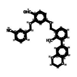 Cc1c(COc2ccc(C=O)c(OCc3cc(C#N)ccn3)c2)cccc1-c1ccc2c(c1)OCCO2